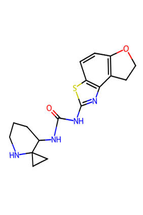 O=C(Nc1nc2c3c(ccc2s1)OCC3)NC1CCCNC12CC2